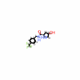 O=C(NCc1ccc(C(F)(F)F)cc1)[C@H]1CC(O)CN1